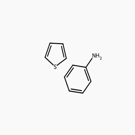 Nc1ccccc1.c1ccsc1